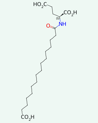 O=C(O)CCCCCCCCCCCCCCC(=O)N[C@@H](CCC(=O)O)C(=O)O